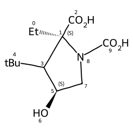 CC[C@@]1(C(=O)O)C(C(C)(C)C)[C@H](O)CN1C(=O)O